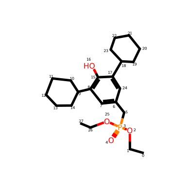 CCOP(=O)(Cc1cc(C2CCCCC2)c(O)c(C2CCCCC2)c1)OCC